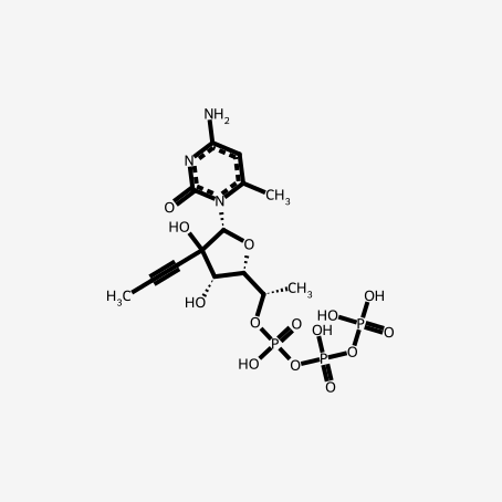 CC#CC1(O)[C@@H](O)[C@@H]([C@H](C)OP(=O)(O)OP(=O)(O)OP(=O)(O)O)O[C@H]1n1c(C)cc(N)nc1=O